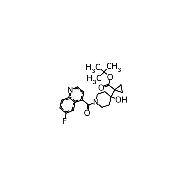 CC(C)(C)OC(=O)C1(C2(O)CCN(C(=O)c3ccnc4ccc(F)cc34)CC2)CC1